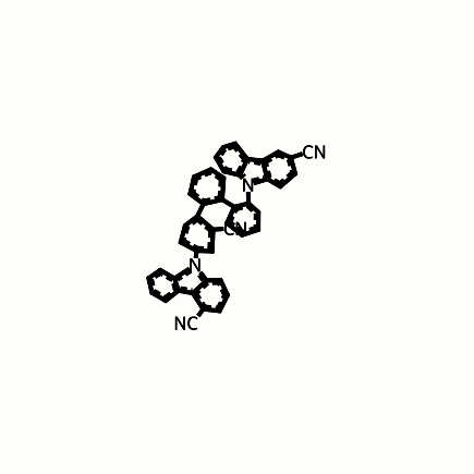 N#Cc1ccc2c(c1)c1ccccc1n2-c1ccccc1-c1ccccc1-c1ccc(-n2c3ccccc3c3c(C#N)cccc32)cc1C#N